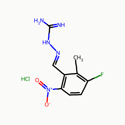 Cc1c(F)ccc([N+](=O)[O-])c1/C=N/NC(=N)N.Cl